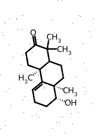 CC1(C)C(=O)CC[C@]2(C)C3=CCC[C@@H](O)[C@]3(C)CCC12